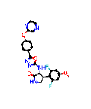 COc1cc(F)c(C2CNC(=O)[C@@H]2Nc2nnc(-c3ccc(Oc4cnccn4)cc3)o2)c(F)c1